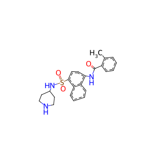 Cc1ccccc1C(=O)Nc1ccc(S(=O)(=O)NC2CCNCC2)c2ccccc12